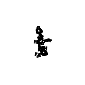 CCCO[C@H]1CN(C2CCOCC2)C[C@@H]1NC(=O)Cc1nc2c(C(F)(F)F)cccc2[nH]1